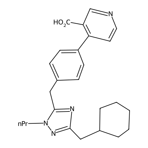 CCCn1nc(CC2CCCCC2)nc1Cc1ccc(-c2ccncc2C(=O)O)cc1